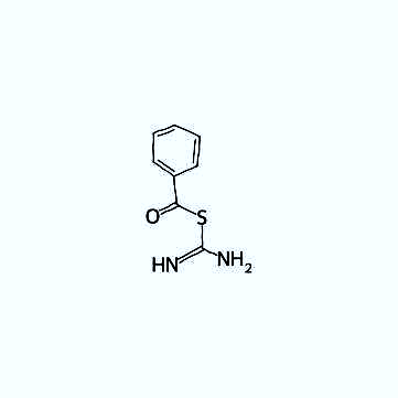 N=C(N)SC(=O)c1ccccc1